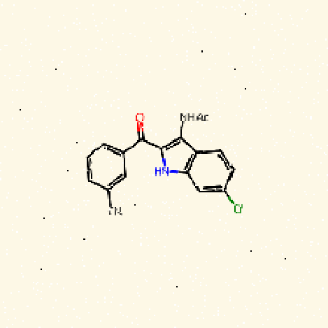 CC(=O)Nc1c(C(=O)c2cccc(C#N)c2)[nH]c2cc(Cl)ccc12